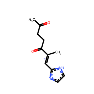 CC(=O)CCC(=O)/C(C)=C/c1ncc[nH]1